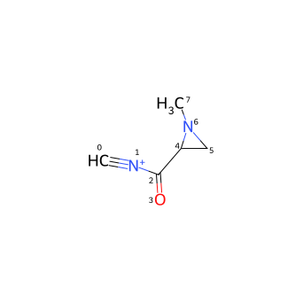 C#[N+]C(=O)C1CN1C